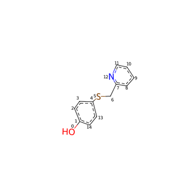 Oc1ccc(SCc2ccccn2)cc1